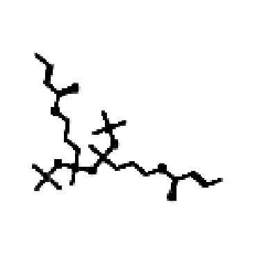 CC=CC(=O)OCCC[Si](C)(O[Si](C)(C)C)O[Si](C)(CCCOC(=O)C=CC)O[Si](C)(C)C